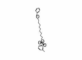 Cc1cccc(S(=O)(=O)OCCCCCCCCCCCOCc2ccccc2)c1